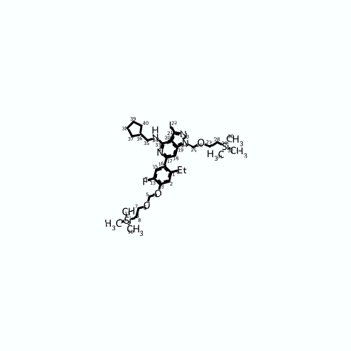 CCc1cc(OCOCC[Si](C)(C)C)c(F)cc1-c1cc2c(c(I)nn2COCC[Si](C)(C)C)c(NCC2CCCC2)n1